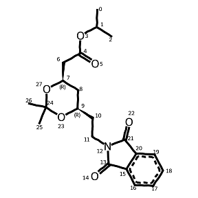 CC(C)OC(=O)C[C@H]1C[C@@H](CCN2C(=O)c3ccccc3C2=O)OC(C)(C)O1